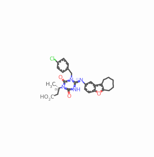 C[C@@H](CC(=O)O)n1c(=O)[nH]/c(=N\c2ccc3oc4c(c3c2)CCCCC4)n(Cc2ccc(Cl)cc2)c1=O